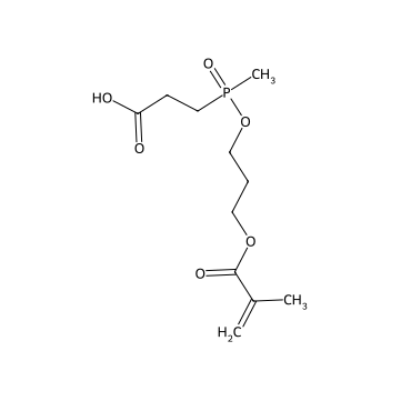 C=C(C)C(=O)OCCCOP(C)(=O)CCC(=O)O